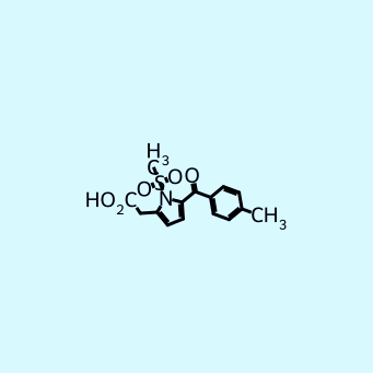 Cc1ccc(C(=O)c2ccc(CC(=O)O)n2S(C)(=O)=O)cc1